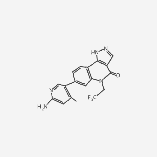 Cc1cc(N)ncc1-c1ccc2c3[nH]ncc3c(=O)n(CC(F)(F)F)c2c1